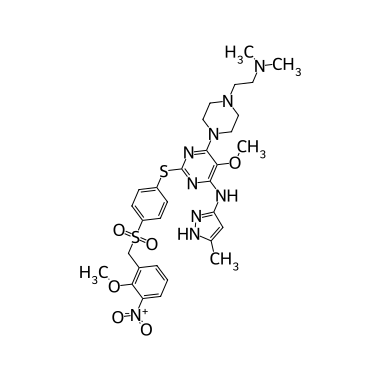 COc1c(CS(=O)(=O)c2ccc(Sc3nc(Nc4cc(C)[nH]n4)c(OC)c(N4CCN(CCN(C)C)CC4)n3)cc2)cccc1[N+](=O)[O-]